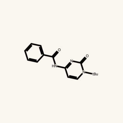 CC(C)(C)n1ccc(NC(=O)c2ccccc2)nc1=O